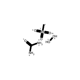 NC(N)=O.OO.[CH3][Re](=[O])(=[O])=[O]